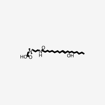 CCCCCC[C@H](O)C/C=C/CCCCCCCC(=O)NCCC[N+](C)(C)CC(=O)O